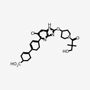 CC(C)(CO)C(=O)N1CCC(Oc2nc3nc(C4=CC=C(C5=CCC(C(=O)O)CC5)CC4)c(Cl)cc3[nH]2)CC1